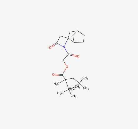 CC(C)(C)CC(C)(C(=O)OCC(=O)N1C(=O)CC12CC1CCC2C1)C(C)(C)C